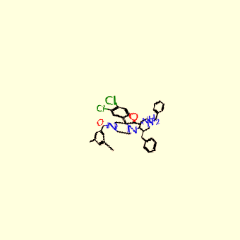 Cc1cc(C)cc(C(=O)N2CCN(C3CCN(Cc4ccccc4)CC3Cc3ccccc3)C(C(=O)CN)(c3ccc(Cl)c(Cl)c3)C2)c1